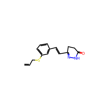 C=CCSc1cccc(C=CC2=NNC(=O)CC2)c1